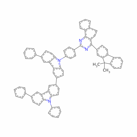 CC1(C)c2ccccc2-c2ccc(-c3nc(-c4ccc(-n5c6ccc(-c7ccccc7)cc6c6cc(-c7ccc8c(c7)c7cc(-c9ccccc9)ccc7n8-c7ccccc7)ccc65)cc4)nc4c3ccc3ccccc34)cc21